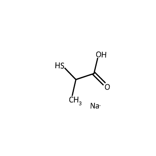 CC(S)C(=O)O.[Na]